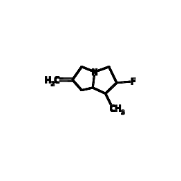 C=C1CC2C(C)C(F)CN2C1